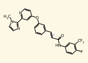 Cn1ccnc1-c1cc(Oc2cccc(/C=C/C(=O)Nc3ccc(F)c(C(F)(F)F)c3)c2)ccn1